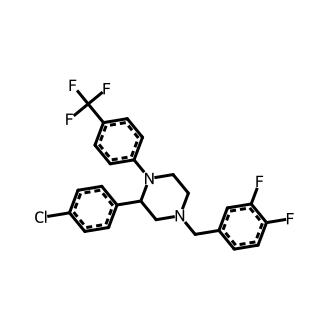 Fc1ccc(CN2CCN(c3ccc(C(F)(F)F)cc3)C(c3ccc(Cl)cc3)C2)cc1F